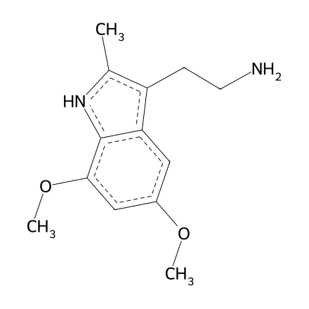 COc1cc(OC)c2[nH]c(C)c(CCN)c2c1